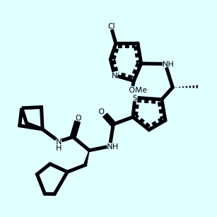 COc1ncc(Cl)cc1N[C@H](C)c1ccc(C(=O)N[C@@H](CC2CCCC2)C(=O)NC23CC(C2)C3)s1